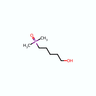 CP(C)(=O)CCCCCO